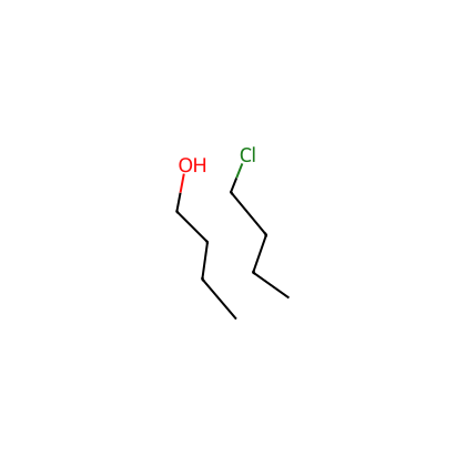 CCCCCl.CCCCO